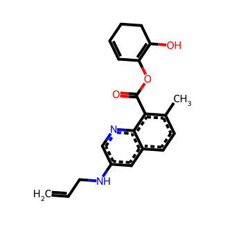 C=CCNc1cnc2c(C(=O)OC3=C(O)CCC=C3)c(C)ccc2c1